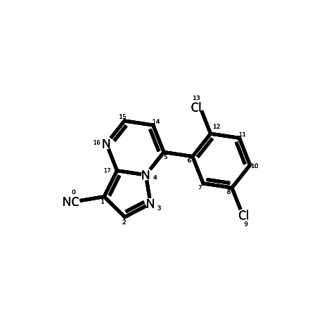 N#Cc1cnn2c(-c3cc(Cl)ccc3Cl)ccnc12